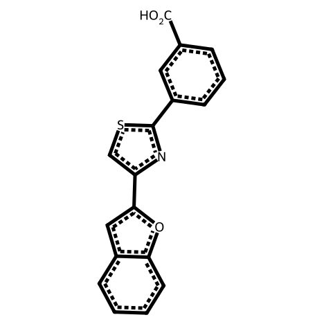 O=C(O)c1cccc(-c2nc(-c3cc4ccccc4o3)cs2)c1